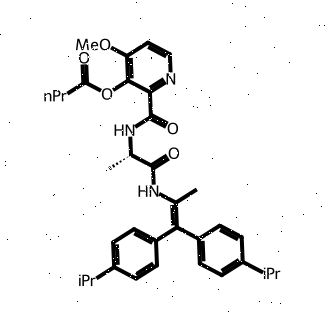 CCCC(=O)Oc1c(OC)ccnc1C(=O)N[C@@H](C)C(=O)NC(C)=C(c1ccc(C(C)C)cc1)c1ccc(C(C)C)cc1